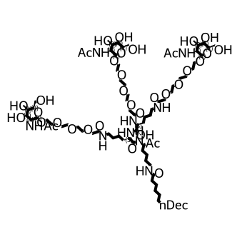 CCCCCCCCCCCCCCCC(=O)NCCCCC(NC(=O)[C@H](CCCCNC(=O)COCCOCCOCCO[C@@H]1O[C@H](CO)[C@H](O)[C@H](O)[C@H]1NC(C)=O)N[C@@H](O)[C@H](CCCCNC(=O)COCCOCCOCCO[C@@H]1O[C@H](CO)[C@H](O)[C@H](O)[C@H]1NC(C)=O)NC(=O)COCCOCCOCCO[C@@H]1O[C@H](CO)[C@H](O)[C@H](O)[C@H]1NC(C)=O)C(C)=O